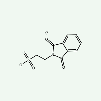 O=C1c2ccccc2C(=O)N1CCS(=O)(=O)[O-].[K+]